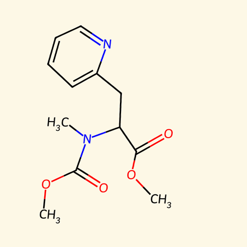 COC(=O)C(Cc1ccccn1)N(C)C(=O)OC